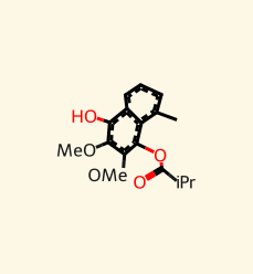 COc1c(OC)c(OC(=O)C(C)C)c2c(C)cccc2c1O